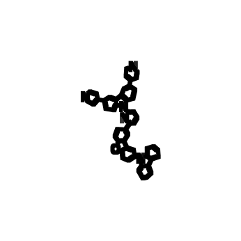 c1cc(-c2ccc3oc4ccc(-n5c6ccccc6c6ccccc65)cc4c3c2)nc(-n2c3ccc(-c4ccncc4)cc3c3cc(-c4ccncc4)ccc32)c1